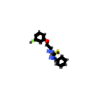 Fc1cccc(OCCNC(=S)Nc2cc[c]cc2)c1